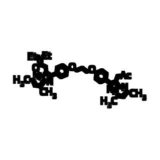 CCN(CC)C(=O)Cc1c(-c2ccc(OCCCOc3ccc(-c4nn5c(C)cc(C)nc5c4CC(C)=O)cc3)cc2)nc2c(C)cc(C)nn12